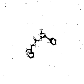 O=C(Nc1nc(Br)sc1-c1ccccc1)OCC1CN2CCC1CC2